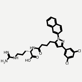 N=C(N)NCCC[C@H](NC(=O)CCCc1cc(-c2cc(Cl)cc(Cl)c2)nn1-c1ccc2ccccc2c1)C(=O)O